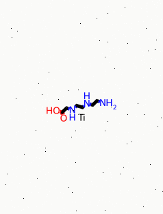 NCCNCCNCC(=O)O.[Ti]